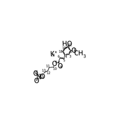 COc1cc(C=CC(=O)OCCCCO[N+](=O)[O-])ccc1O.[K+]